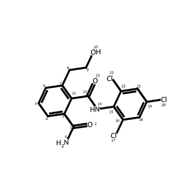 NC(=O)c1cccc(CCO)c1C(=O)Nc1c(Cl)cc(Cl)cc1Cl